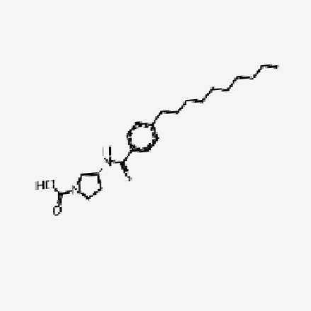 CCCCCCCCCCc1ccc(C(=S)N[C@@H]2CCN(C(=O)O)C2)cc1